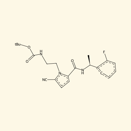 C[C@H](NC(=O)c1ccc(C#N)n1CCNC(=O)OC(C)(C)C)c1ccccc1F